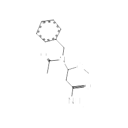 COC(CC(N)=O)N(Cc1ccccc1)C(C)=O